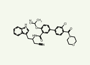 CC(C)Oc1ccc(-c2ccc(C(=O)N3CCOCC3)c(Cl)c2)cc1C(=O)NC(CC#N)Cc1c[nH]c2ccccc12